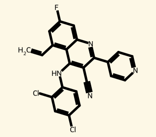 C=Cc1cc(F)cc2nc(-c3ccncc3)c(C#N)c(Nc3ccc(Cl)cc3Cl)c12